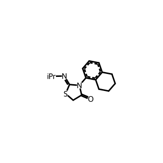 CC(C)N=C1SCC(=O)N1c1cccc2c1CCCC2